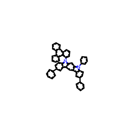 c1ccc(-c2ccc3c(c2)c2cc4c5cc(-c6ccccc6)ccc5n(-c5cccc6c7ccccc7c7ccccc7c56)c4cc2n3-c2ccccc2)cc1